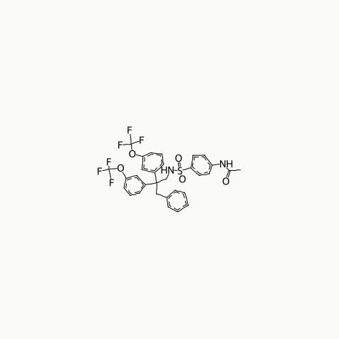 CC(=O)Nc1ccc(S(=O)(=O)NCC(Cc2ccccc2)(c2cccc(OC(F)(F)F)c2)c2cccc(OC(F)(F)F)c2)cc1